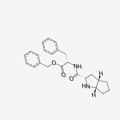 O=C(N[C@@H](Cc1ccccc1)C(=O)OCc1ccccc1)[C@@H]1C[C@@H]2CCC[C@@H]2N1